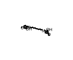 COc1ccc(C=NCCCCCCCCCCCN=Cc2ccc(OC)cc2O)c(O)c1